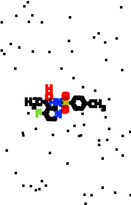 Cc1ccc(S(=O)(=O)Nc2nccc(F)c2C(C)O)cc1